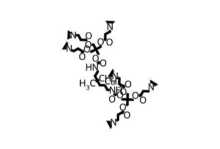 CC(CNC(=O)OCC(COC(=O)CCN1CC1)(COC(=O)CCN1CC1)COC(=O)CCN1CC1)CC(C)(C)CCNC(=O)OCC(COC(=O)CCN1CC1)(COC(=O)CCN1CC1)COC(=O)CCN1CC1